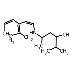 C/C=C\C(/C=C\NC(C)CC(C)C(C)C)=C(C)C